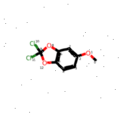 COc1ccc2c(c1)OC(Cl)(Cl)O2